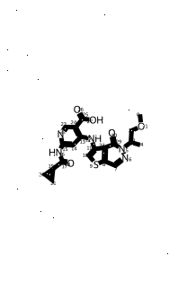 COCC(C)n1ncc2scc(Nc3cc(NC(=O)C4CC4)ncc3C(=O)O)c2c1=O